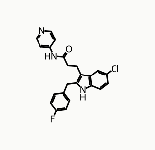 O=C(CCc1c(Cc2ccc(F)cc2)[nH]c2ccc(Cl)cc12)Nc1ccncc1